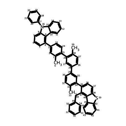 Cc1cc(-c2cccc3c2c2ccccc2n3-c2ccccc2)ccc1-c1cc(-c2ccc(C)c(-c3ccc4sc5ccccc5c4c3Cc3ccccc3)c2)ccc1C